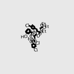 CCOC(CN(CC)C(=O)C(Cc1ccc(Cl)cc1)NC(=O)C(CNS(=O)(=O)c1ccc(Cl)cc1Cl)N(Cc1ccccc1)C(=O)O)OCC